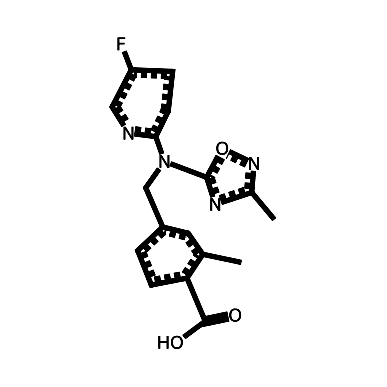 Cc1noc(N(Cc2ccc(C(=O)O)c(C)c2)c2ccc(F)cn2)n1